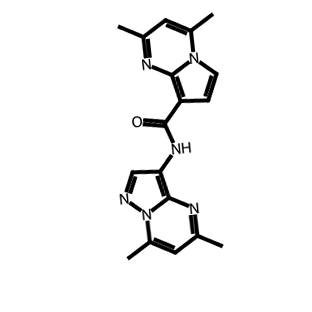 Cc1cc(C)n2ccc(C(=O)Nc3cnn4c(C)cc(C)nc34)c2n1